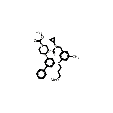 COCCCOc1cc(C)cc(CN(C(=O)[C@H]2CN(C(=O)OC(C)(C)C)CC[C@@H]2c2cccc(-c3ccccc3)c2)C2CC2)c1